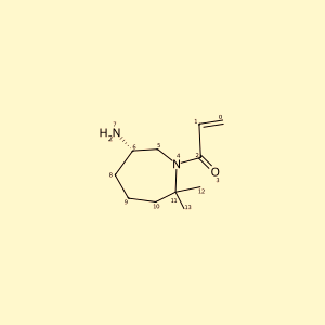 C=CC(=O)N1C[C@@H](N)CCCC1(C)C